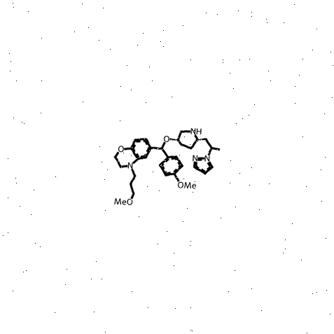 COCCCN1CCOc2ccc(C(O[C@@H]3CC[C@H](CC(C)n4cccn4)NC3)c3ccc(OC)cc3)cc21